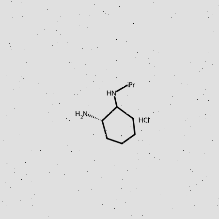 CC(C)NC1CCCC[C@@H]1N.Cl